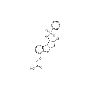 O=C(O)COc1cccc2c1OC1CC(Cl)C(NS(=O)(=O)c3ccccc3)C21